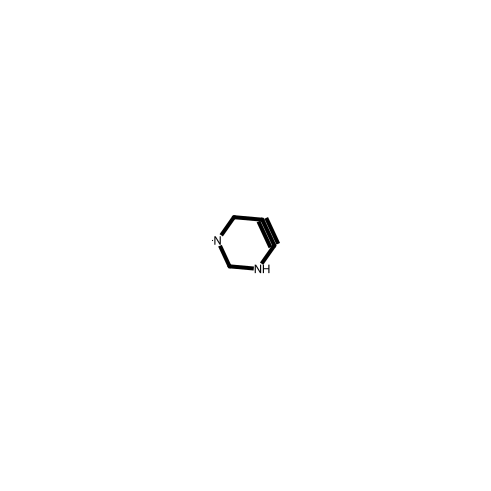 C1#CNC[N]C1